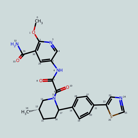 COc1ncc(NC(=O)C(=O)N2C[C@@H](C)CCC2c2ccc(-c3cncs3)cc2)cc1C(N)=O